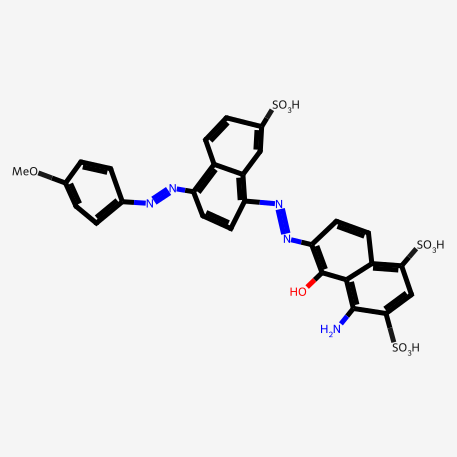 COc1ccc(N=Nc2ccc(N=Nc3ccc4c(S(=O)(=O)O)cc(S(=O)(=O)O)c(N)c4c3O)c3cc(S(=O)(=O)O)ccc23)cc1